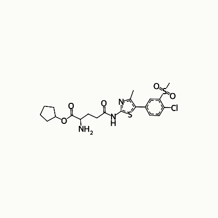 Cc1nc(NC(=O)CCC(N)C(=O)OC2CCCC2)sc1-c1ccc(Cl)c(S(C)(=O)=O)c1